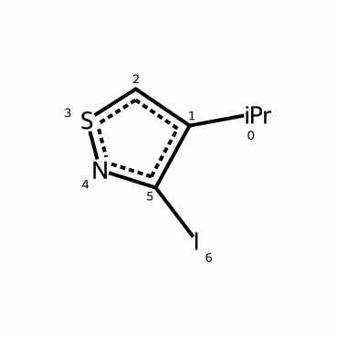 CC(C)c1csnc1I